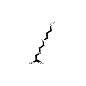 CCCCOCCOCC(=O)[O-].[Li+]